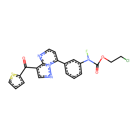 O=C(c1cccs1)c1cnn2c(-c3cccc(N(F)C(=O)OCCCl)c3)ccnc12